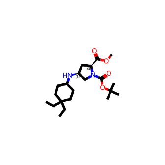 CCC1(CC)CCC(N[C@H]2C[C@@H](C(=O)OC)N(C(=O)OC(C)(C)C)C2)CC1